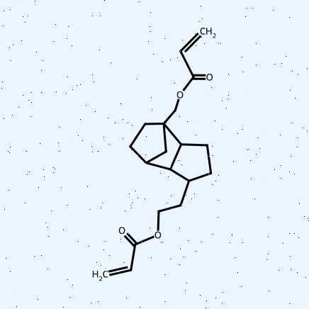 C=CC(=O)OCCC1CCC2C1C1CCC2(COC(=O)C=C)C1